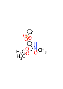 CC(=O)NC(CC(=O)OC(C)C)c1ccc(OS(=O)(=O)c2ccccc2)cc1